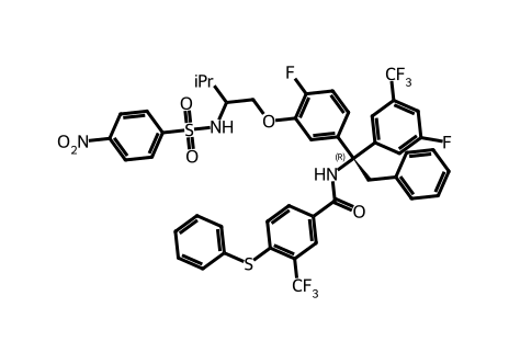 CC(C)C(COc1cc([C@@](Cc2ccccc2)(NC(=O)c2ccc(Sc3ccccc3)c(C(F)(F)F)c2)c2cc(F)cc(C(F)(F)F)c2)ccc1F)NS(=O)(=O)c1ccc([N+](=O)[O-])cc1